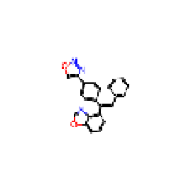 C(=C(c1ccc(-c2conn2)cc1)c1cccc2ocnc12)c1ccccc1